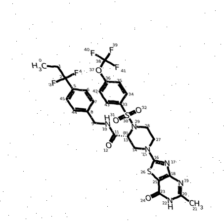 CCC(F)(F)c1ccc(CNC(=O)[C@H]2CN(c3nc4nc(C)[nH]c(=O)c4s3)CCN2S(=O)(=O)c2ccc(OC(F)(F)F)cc2)cc1